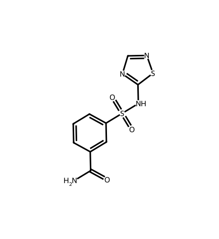 NC(=O)c1cccc(S(=O)(=O)Nc2ncns2)c1